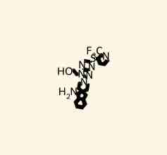 N[C@@H]1c2ccccc2CC12CCN(c1nc3nc(Sc4cccnc4C(F)(F)F)cnc3n1CCO)CC2